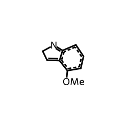 COc1cccc2c1=CCN=2